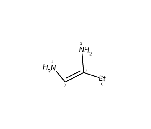 CC/C(N)=C/N